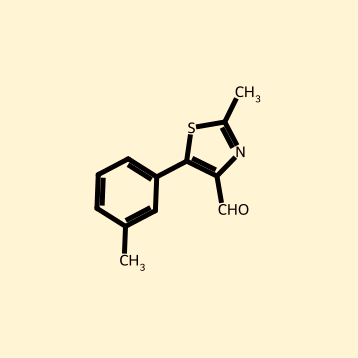 Cc1cccc(-c2sc(C)nc2C=O)c1